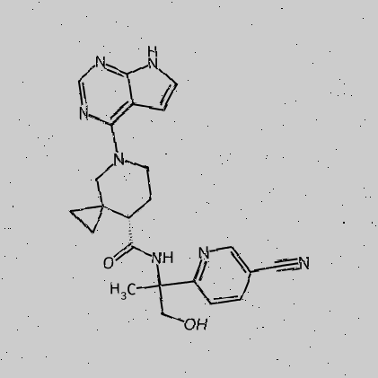 CC(CO)(NC(=O)[C@H]1CCN(c2ncnc3[nH]ccc23)CC12CC2)c1ccc(C#N)cn1